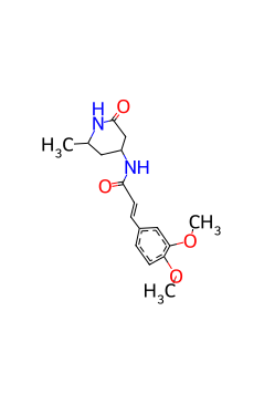 COc1ccc(C=CC(=O)NC2CC(=O)NC(C)C2)cc1OC